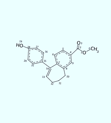 COC(=O)c1ccc2c(c1)CCCC=C2c1ccc(O)cc1